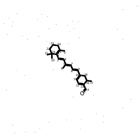 CC1=C(/C=C/C(C)=C/C=C/C2=CC=C(C=O)C(C)C2)C(C)(C)CCC1